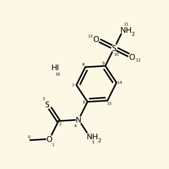 COC(=S)N(N)c1ccc(S(N)(=O)=O)cc1.I